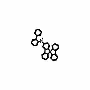 CN(c1ccc2c(c1)-c1ccccc1C21c2ccccc2-c2ccccc21)c1ccccc1-c1ccccc1